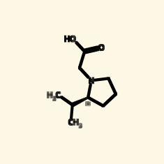 CC(C)[C@@H]1CCCN1CC(=O)O